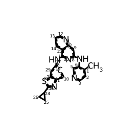 Cc1ccncc1Nc1cc2ncccc2c(Nc2ccc3nc(C4CC4)sc3c2)n1